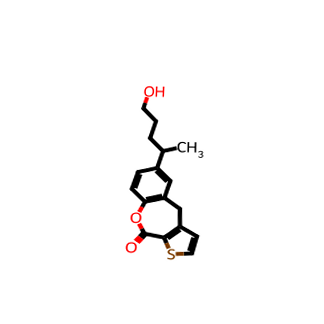 CC(CCCO)c1ccc2c(c1)Cc1ccsc1C(=O)O2